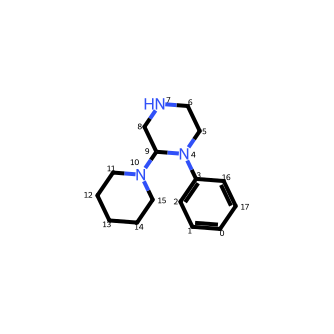 c1ccc(N2CCNCC2N2CCCCC2)cc1